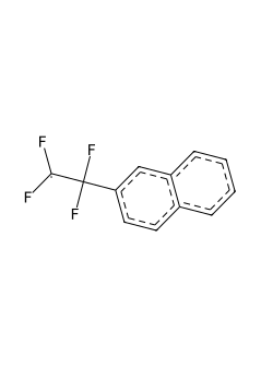 F[C](F)C(F)(F)c1ccc2ccccc2c1